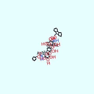 CC(=O)NC1C[C@@H](NC(C)=O)[C@@H](O[C@H]2OC(CO)[C@@H](O)[C@@H](NC(=O)OCC3c4ccccc4-c4ccccc43)C2O)C(O)[C@@H]1O[C@H]1OC(CNC(=O)OCc2ccccc2)[C@@H](O)[C@H](O)C1O